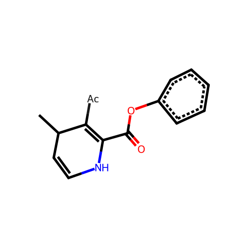 CC(=O)C1=C(C(=O)Oc2ccccc2)NC=CC1C